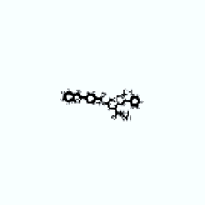 COCOCC(CC(CC=Cc1ccccc1)C(=O)NO)NC(=O)c1ccc(-c2cc3ccccc3o2)cc1